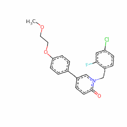 COCCOc1ccc(-c2ccc(=O)n(Cc3ccc(Cl)cc3F)c2)cc1